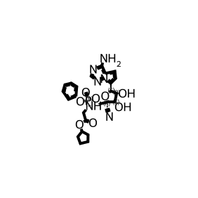 N#C[C@]1(CO[P@](=O)(NCC(=O)OC2CCCC2)Oc2ccccc2)O[C@@H](c2ccc3c(N)ncnn23)[C@H](O)[C@@H]1O